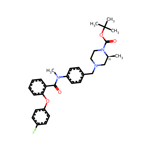 C[C@H]1CN(Cc2ccc(N(C)C(=O)c3ccccc3Oc3ccc(F)cc3)cc2)CCN1C(=O)OC(C)(C)C